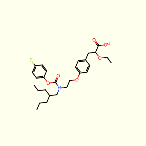 CCCC(CCC)CN(CCOc1ccc(CC(OCC)C(=O)O)cc1)C(=O)Oc1ccc(F)cc1